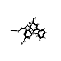 CCCCCC1(c2ccc(Br)nc2)NC(C)Cc2c1[nH]c1ccccc21